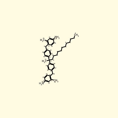 CCCCCCCCCCCCC(C)(c1ccc(Cc2ccc(N)cc2C)cc1)c1ccc(Cc2ccc(N)cc2C)cc1